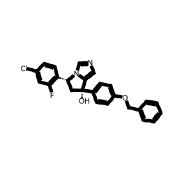 O[C@]1(c2ccc(OCc3ccccc3)cc2)C[C@H](c2ccc(Cl)cc2F)n2cncc21